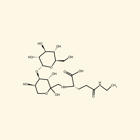 CCNC(=O)CC[C@H](NCC1(O)OC[C@@H](O)[C@@H](O[C@H]2O[C@H](CO)[C@@H](O)[C@H](O)[C@H]2O)[C@@H]1O)C(=O)O